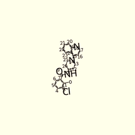 Cc1c(Cl)cccc1C(=O)NC1CCN(c2ccnc3ccccc23)CC1